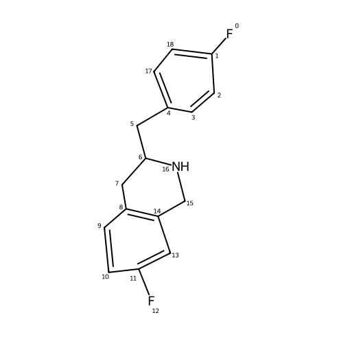 Fc1ccc(CC2Cc3ccc(F)cc3CN2)cc1